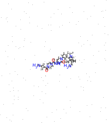 CC(Cc1ccc(-n2ccc(NC(=O)N3CCN(C(=O)C4CC(N)C4)CC3)nc2=O)cc1)N1C[C@@H]2C(CN)[C@@H]2C1